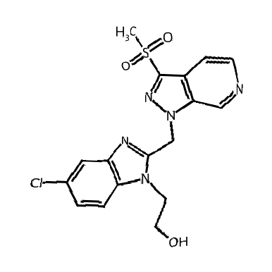 CS(=O)(=O)c1nn(Cc2nc3cc(Cl)ccc3n2CCO)c2cnccc12